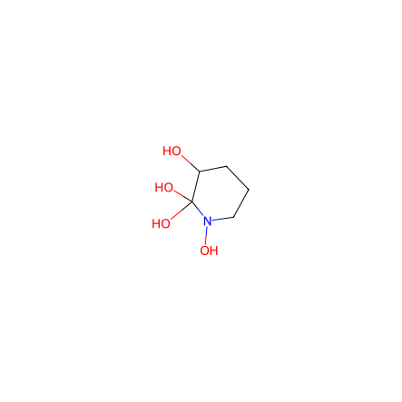 OC1CCCN(O)C1(O)O